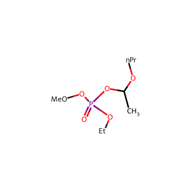 CCCOC(C)OP(=O)(OCC)OOC